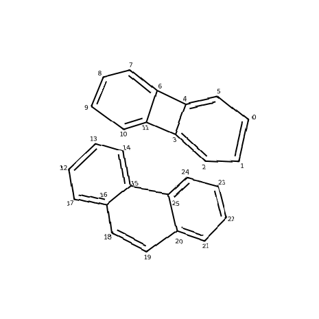 c1ccc2c(c1)-c1ccccc1-2.c1ccc2c(c1)ccc1ccccc12